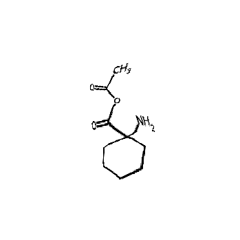 CC(=O)OC(=O)C1(N)CCCCC1